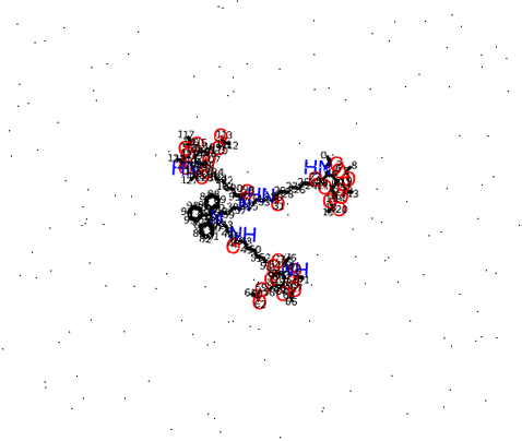 CC(=O)NC1C(OC(C)=O)[C@@H](OC(C)=O)C(COC(C)=O)O[C@H]1OCCCCCCC(=O)NCCCN(CCCCN(CCCNC(=O)CCCCCCO[C@@H]1OC(COC(C)=O)[C@H](OC(C)=O)C(OC(C)=O)[C@@H]1NC(C)=O)C(c1ccccc1)(c1ccccc1)c1ccccc1)C(=O)CCCCCCO[C@@H]1OC(COC(C)=O)[C@H](OC(C)=O)C(OC(C)=O)[C@@H]1NC(C)=O